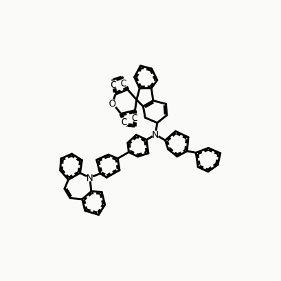 C1=CC(N(c2ccc(-c3ccccc3)cc2)c2ccc(-c3ccc(N4c5ccccc5C=Cc5ccccc54)cc3)cc2)CC2=C1c1ccccc1C21c2ccccc2Oc2ccccc21